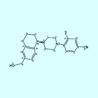 N#Cc1ccc(N2CCN([C@@H]3CCCc4cc(CO)ccc43)CC2)c(F)c1